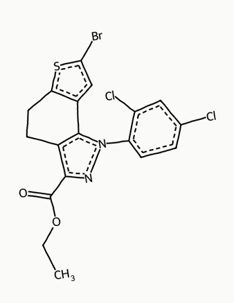 CCOC(=O)c1nn(-c2ccc(Cl)cc2Cl)c2c1CCc1sc(Br)cc1-2